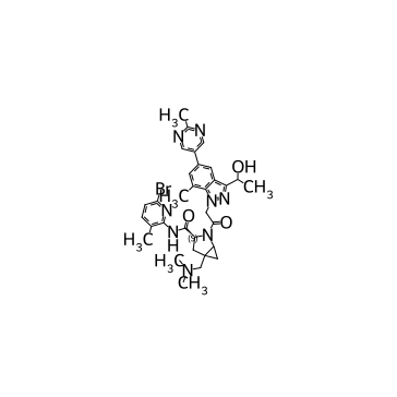 Cc1ncc(-c2cc(C)c3c(c2)c(C(C)O)nn3CC(=O)N2C3CC3(CN(C)C)C[C@H]2C(=O)Nc2nc(Br)ccc2C)cn1